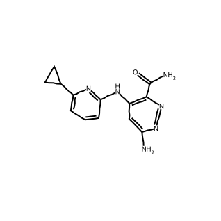 NC(=O)c1nnc(N)cc1Nc1cccc(C2CC2)n1